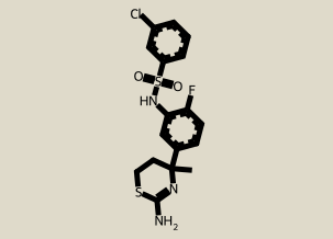 CC1(c2ccc(F)c(NS(=O)(=O)c3cccc(Cl)c3)c2)CCSC(N)=N1